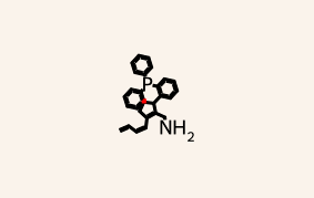 C=C/C=C\C1=C(CN)C(c2ccccc2P(c2ccccc2)c2ccccc2)CC1